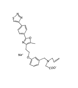 C=CCN(CC(=O)[O-])Cc1cccc(OCCc2nc(-c3ccc(-c4csnn4)cc3)oc2C)c1.[Na+]